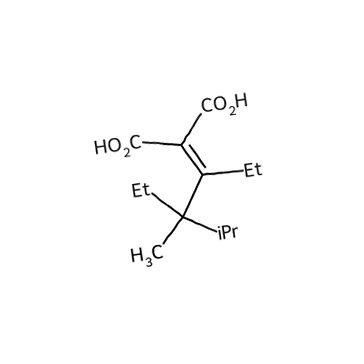 CCC(=C(C(=O)O)C(=O)O)C(C)(CC)C(C)C